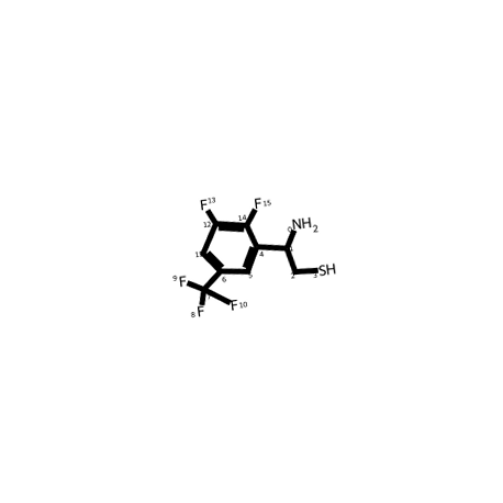 NC(CS)c1cc(C(F)(F)F)cc(F)c1F